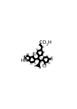 O=C(O)/C=C/c1ccc(/C(=C(\c2ccc(F)cc2Cl)C2CC2)c2ccc3[nH]ncc3c2F)cc1